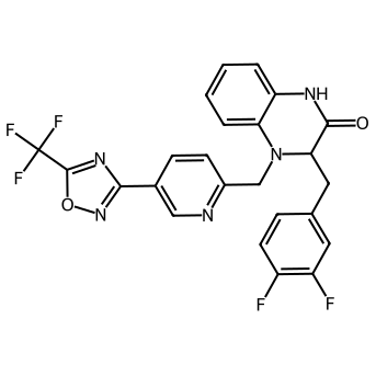 O=C1Nc2ccccc2N(Cc2ccc(-c3noc(C(F)(F)F)n3)cn2)C1Cc1ccc(F)c(F)c1